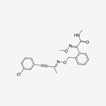 CNC(=O)/C(=N/OC)c1ccccc1CO/N=C(\C)C#Cc1cccc(Cl)c1